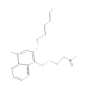 CCCCCCOc1cc(C)c2ccccc2c1CNCCC(=O)O